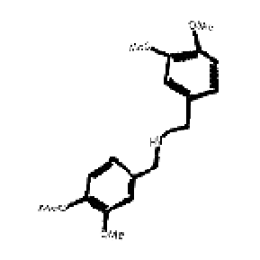 COc1ccc(CNCc2ccc(OC)c(OC)c2)cc1OC